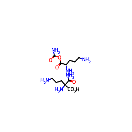 NCCC[C@@H](N)C(=O)OC(N)=O.NCCC[C@@](N)(C(N)=O)C(=O)O